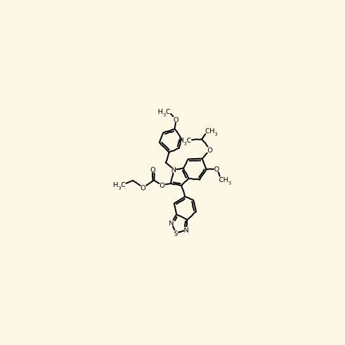 CCOC(=O)Oc1c(-c2ccc3nsnc3c2)c2cc(OC)c(OC(C)C)cc2n1Cc1ccc(OC)cc1